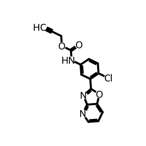 C#CCOC(=O)Nc1ccc(Cl)c(-c2nc3ncccc3o2)c1